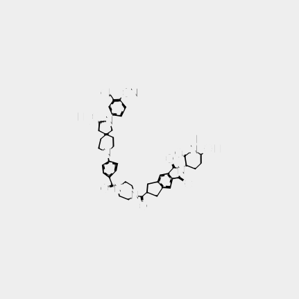 C[C@H]1CC2(CCN(c3ccc(C(=O)N4CCN(C(=O)C5Cc6cc7c(cc6C5)C(=O)N(C5CCC(O)NC5=O)C7=O)CC4)cc3)CC2)CN1c1ccc(C#N)c(Cl)c1